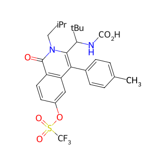 Cc1ccc(-c2c(C(NC(=O)O)C(C)(C)C)n(CC(C)C)c(=O)c3ccc(OS(=O)(=O)C(F)(F)F)cc23)cc1